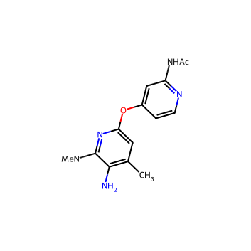 CNc1nc(Oc2ccnc(NC(C)=O)c2)cc(C)c1N